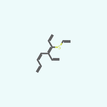 C=C/C=C\C(C=C)=C(/C=C)SC=C